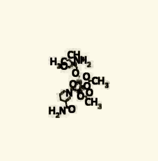 CC(=O)O[C@@H]1[C@H](OC(C)=O)[C@@H](COC[C@@](N)(C=O)C(C)C)O[C@H]1N1C=CCC(C(N)=O)=C1